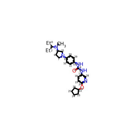 CCC(CC)N(C)C1CCN(c2ccc(NC(=O)Nc3ccc(OC4CCCC4)nc3)cc2)C1